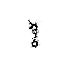 Cc1c(C#N)c(O)cc2nc(COc3ccccc3)nn12